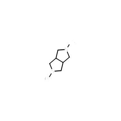 CC(C)N1CC2CN(C(C)(C)C)CC2C1